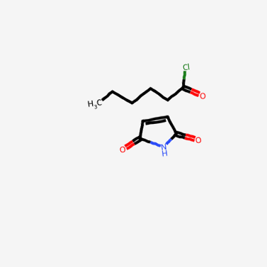 CCCCCC(=O)Cl.O=C1C=CC(=O)N1